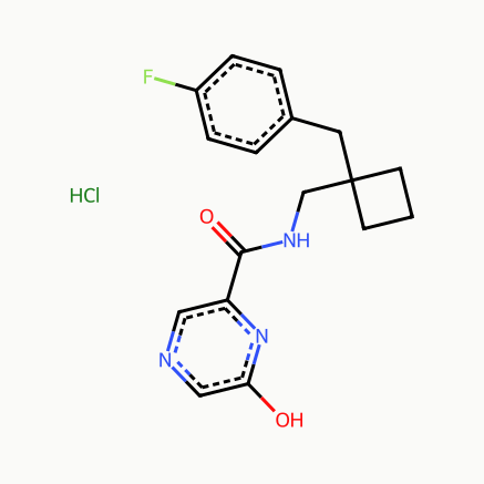 Cl.O=C(NCC1(Cc2ccc(F)cc2)CCC1)c1cncc(O)n1